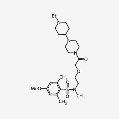 CCN1CCC(N2CCN(C(=O)COCCN(C)S(=O)(=O)c3c(C)cc(OC)cc3C)CC2)CC1